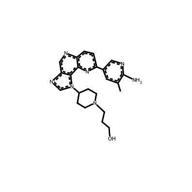 Cc1cc(-c2ccc3ncc4ncn(C5CCN(CCCO)CC5)c4c3n2)cnc1N